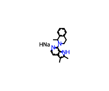 Cc1[nH]c2c(N3CCc4ccccc4C3C)nccc2c1C.[NaH]